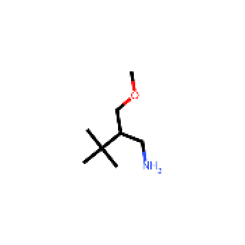 COCC(CN)C(C)(C)C